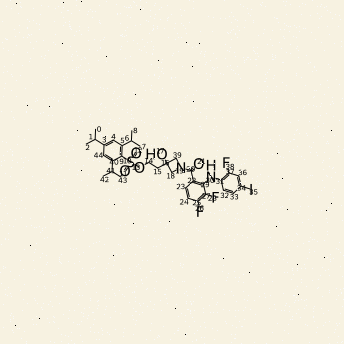 CC(C)c1cc(C(C)C)c(S(=O)(=O)OCCC2(O)CN(C(=O)c3ccc(F)c(F)c3Nc3ccc(I)cc3F)C2)c(C(C)C)c1